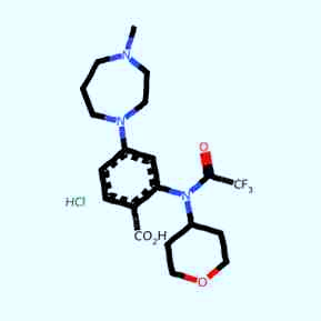 CN1CCCN(c2ccc(C(=O)O)c(N(C(=O)C(F)(F)F)C3CCOCC3)c2)CC1.Cl